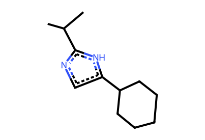 CC(C)c1ncc(C2CCCCC2)[nH]1